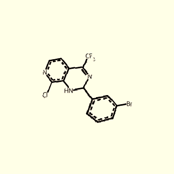 FC(F)(F)C1=NC(c2cccc(Br)c2)Nc2c1ccnc2Cl